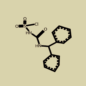 O=C(NC(c1ccccc1)c1ccccc1)NS(=O)(=O)Cl